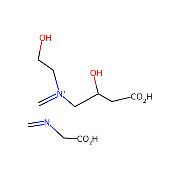 C=NCC(=O)O.C=[N+](CCO)CC(O)CC(=O)O